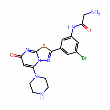 NCC(=O)Nc1cc(Br)cc(-c2nn3c(N4CCNCC4)cc(=O)nc3s2)c1